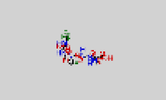 CC(=O)N[C@@H](CCC(=O)O)C(=O)NCCNC(=O)OCCN1C(=O)[C@@H](NC(=O)[C@@](C)(O)C(=O)NCC(F)(F)C(F)(F)F)[C@@H](C)Oc2ccc(F)cc21